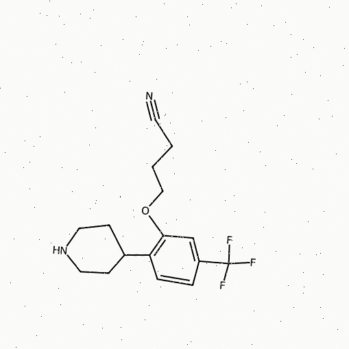 N#CCCCOc1cc(C(F)(F)F)ccc1C1CCNCC1